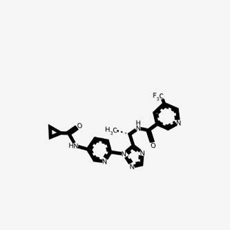 C[C@H](NC(=O)c1cncc(C(F)(F)F)c1)c1ncnn1-c1ccc(NC(=O)C2CC2)cn1